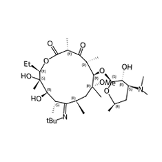 CC[C@H]1OC(=O)[C@H](C)C(=O)[C@H](C)[C@@H](O[C@@H]2O[C@H](C)C[C@H](N(C)C)[C@H]2O)[C@](C)(OC)C[C@@H](C)C(=NC(C)(C)C)[C@H](C)[C@@H](O)[C@]1(C)O